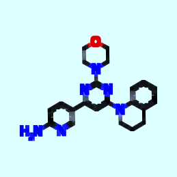 Nc1ccc(-c2cc(N3CCCc4ccccc43)nc(N3CCOCC3)n2)cn1